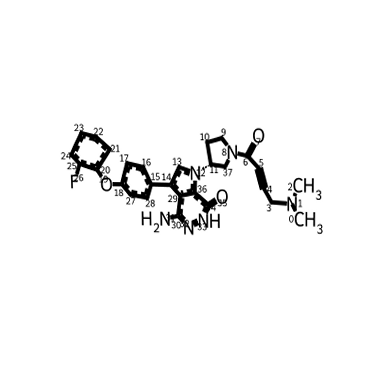 CN(C)CC#CC(=O)N1CC[C@@H](n2cc(-c3ccc(Oc4ccccc4F)cc3)c3c(N)n[nH]c(=O)c32)C1